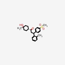 Cc1ccccc1C(CC(=O)[C@H]1CC[C@@](C)(O)CC1)c1ccc(S(C)(=O)=O)cc1